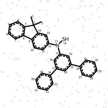 CC1(C)c2ccccc2-c2ccc(N(S)c3cc(-c4ccccc4)cc(-c4ccccc4)c3)cc21